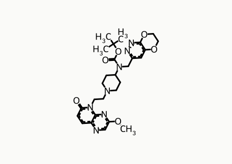 COc1cnc2ccc(=O)n(CCN3CCC(N(Cc4cc5c(nn4)OCCO5)C(=O)OC(C)(C)C)CC3)c2n1